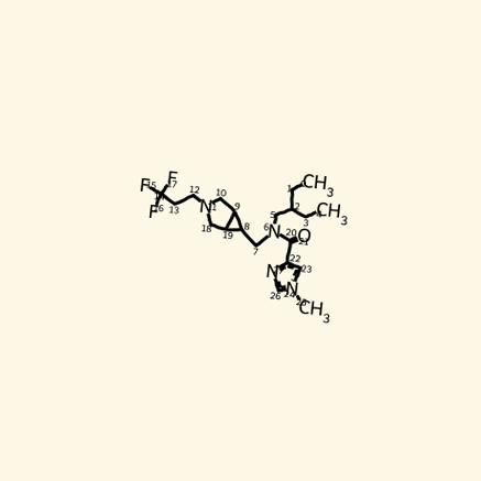 CCC(CC)CN(CC1C2CN(CCC(F)(F)F)CC21)C(=O)c1cn(C)cn1